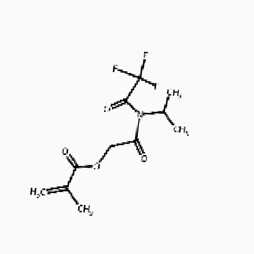 C=C(C)C(=O)OCC(=O)N(C(=O)C(F)(F)F)C(C)C